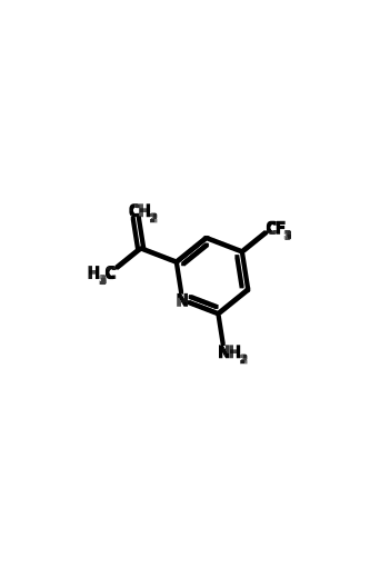 C=C(C)c1cc(C(F)(F)F)cc(N)n1